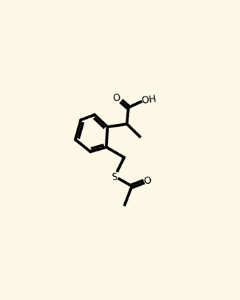 CC(=O)SCc1ccccc1C(C)C(=O)O